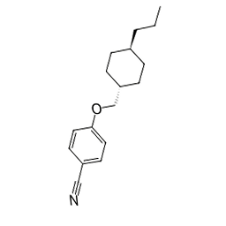 CCC[C@H]1CC[C@H](COc2ccc(C#N)cc2)CC1